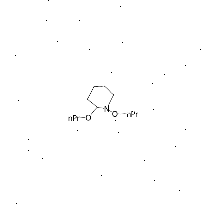 CCCOC1CCCCN1OCCC